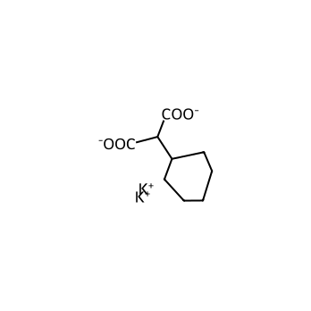 O=C([O-])C(C(=O)[O-])C1CCCCC1.[K+].[K+]